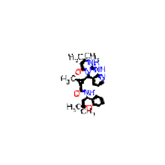 CC1C(C(=O)N[C@H]2CC(C)(C)Oc3ccccc32)C1C(c1cccnc1)N1C(=N)NC(C)(C)CC1=O